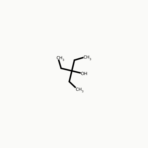 CCC(O)(CC)CC